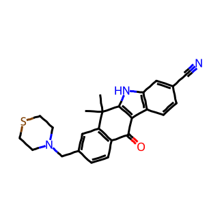 CC1(C)c2cc(CN3CCSCC3)ccc2C(=O)c2c1[nH]c1cc(C#N)ccc21